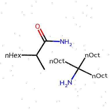 CCCCCCC(C)C(N)=O.CCCCCCCCC(N)(CCCCCCCC)CCCCCCCC